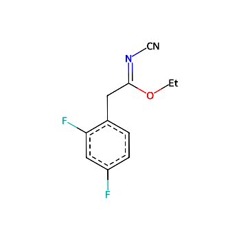 CCOC(Cc1ccc(F)cc1F)=NC#N